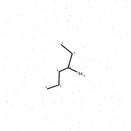 [2H]C(CC)CCC